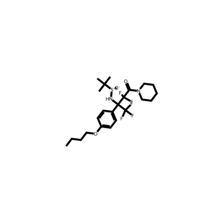 CCCCOc1ccc(C(N[S+]([O-])C(C)(C)C)(C(F)(F)F)C(F)(F)C(=O)N2CCCCC2)cc1